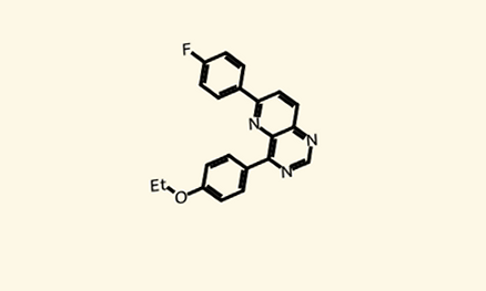 CCOc1ccc(-c2ncnc3ccc(-c4ccc(F)cc4)nc23)cc1